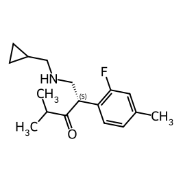 Cc1ccc([C@@H](CNCC2CC2)C(=O)C(C)C)c(F)c1